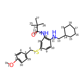 COc1ccc(CSc2ccc(NCC3CCCCC3)c(NC(=O)C(C)(C)C)c2)cc1